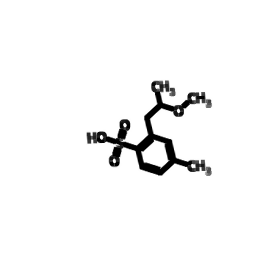 COC(C)Cc1cc(C)ccc1S(=O)(=O)O